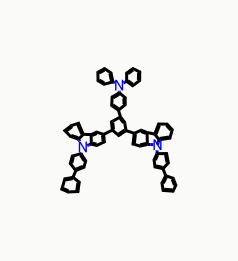 c1ccc(-c2ccc(-n3c4ccccc4c4cc(-c5cc(-c6ccc(N(c7ccccc7)c7ccccc7)cc6)cc(-c6ccc7c(c6)c6ccccc6n7-c6ccc(-c7ccccc7)cc6)c5)ccc43)cc2)cc1